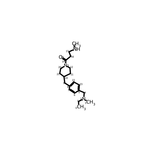 CCN(C)Cc1ccc(CC2CCN(C(=O)CCNC)CC2)cc1